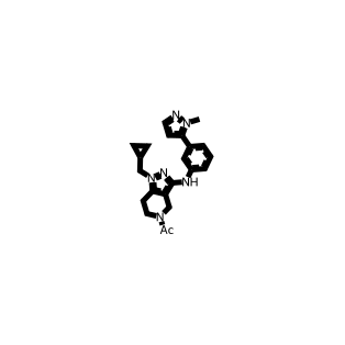 CC(=O)N1CCc2c(c(Nc3cccc(-c4ccnn4C)c3)nn2CC2CC2)C1